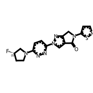 O=C1c2cn(-c3ccc(N4CC[C@H](F)C4)nn3)nc2CN1c1ccns1